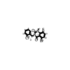 Cn1c(=O)n(Cc2ccccc2C(F)(F)F)c(=O)c2c(Br)ccc(F)c21